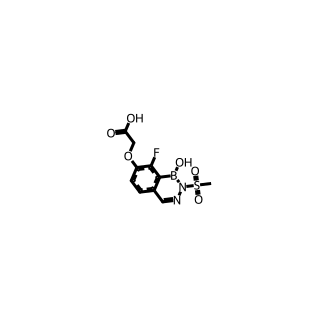 CS(=O)(=O)N1N=Cc2ccc(OCC(=O)O)c(F)c2B1O